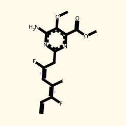 C=C/C(F)=C(I)\C=C(\F)Cc1nc(N)c(OC)c(C(=O)OC)n1